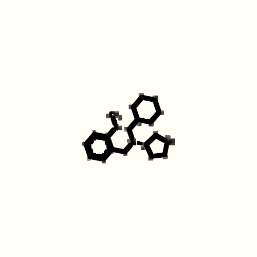 CSc1ccccc1CN(CC1CCCCC1)[C@H]1CCNC1